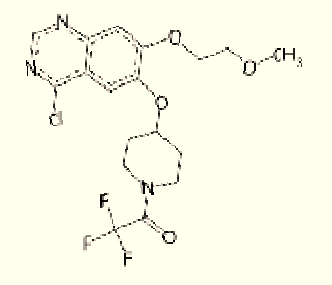 COCCOc1cc2ncnc(Cl)c2cc1OC1CCN(C(=O)C(F)(F)F)CC1